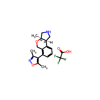 Cc1noc(C)c1-c1cccc2c1CO[C@@]1(C)CNC[C@@H]21.O=C(O)C(F)(F)F